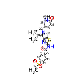 CCS(=O)(=O)c1ccc(CC(=O)Nc2nc3c(s2)CN(Cc2ccc(=O)n(C)c2)[C@H]3C(C)C)cc1